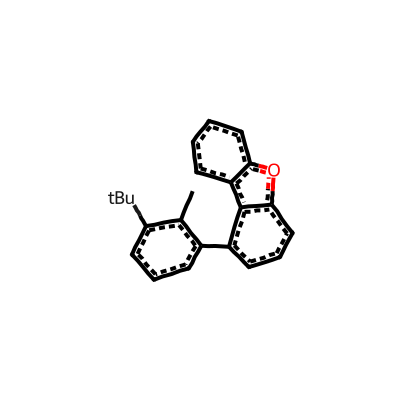 Cc1c(-c2cccc3oc4ccccc4c23)cccc1C(C)(C)C